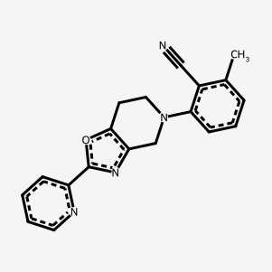 Cc1cccc(N2CCc3oc(-c4ccccn4)nc3C2)c1C#N